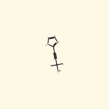 CC(C)(O)C#Cc1nccs1